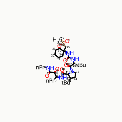 CCCNC(=O)C(=O)C(CCC)NC(=O)C1C(C(C)(C)C)CCN1C(=O)[C@@H](NC(=O)NC1(CS(C)(=O)=O)CCCCC1)C(C)(C)C